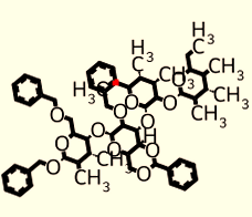 CCC1O[C@@H](OC2[C@H](O[C@@H]3C(OCc4ccccc4)[C@H](O[C@@H]4C(COCc5ccccc5)O[C@@H](OCc5ccccc5)C(C)[C@H]4C)OC4COC(c5ccccc5)O[C@H]43)OC(CC)[C@H](C)[C@H]2C)C(C)[C@@H](C)C1C